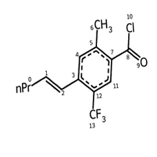 CCC/C=C/c1cc(C)c(C(=O)Cl)cc1C(F)(F)F